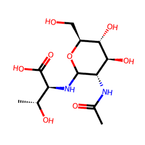 CC(=O)N[C@@H]1C(N[C@H](C(=O)O)[C@@H](C)O)O[C@@H](CO)[C@H](O)[C@H]1O